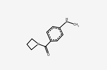 CBc1ccc(C(=O)N2CCC2)cc1